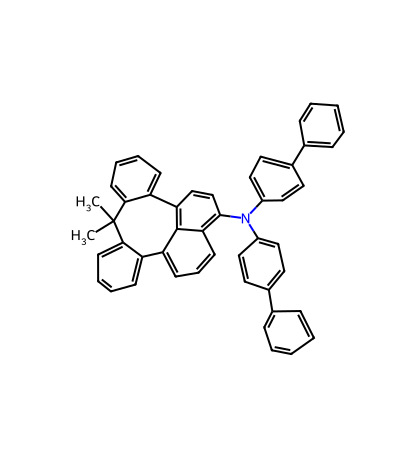 CC1(C)c2ccccc2-c2cccc3c(N(c4ccc(-c5ccccc5)cc4)c4ccc(-c5ccccc5)cc4)ccc(c23)-c2ccccc21